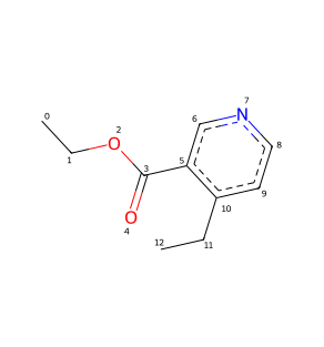 CCOC(=O)c1cnccc1CC